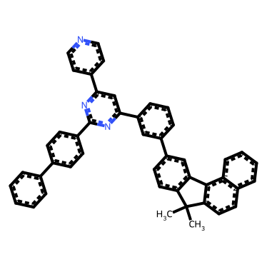 CC1(C)c2ccc(-c3cccc(-c4cc(-c5ccncc5)nc(-c5ccc(-c6ccccc6)cc5)n4)c3)cc2-c2c1ccc1ccccc21